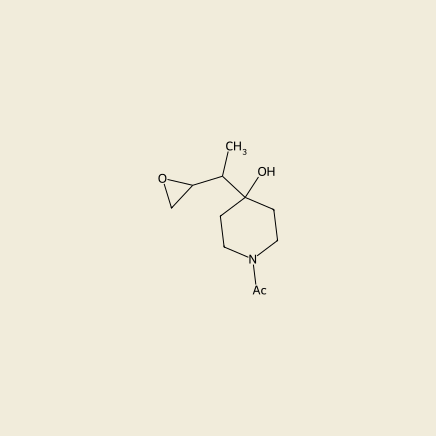 CC(=O)N1CCC(O)(C(C)C2CO2)CC1